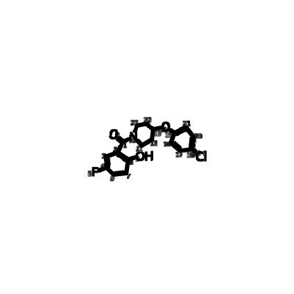 O=C(c1cc(F)ccc1O)N1CCC(Oc2ccc(Cl)cc2)CC1